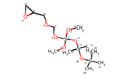 CO[Si](OC)(OCOCC1CO1)O[Si](C)(C)O[Si](C)(C)C